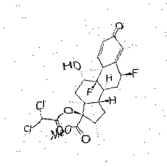 COC(=O)[C@@]1(OC(=O)C(Cl)Cl)[C@@H](C)C[C@H]2[C@@H]3C[C@H](F)C4=CC(=O)C=C[C@]4(C)[C@@]3(F)[C@@H](O)C[C@@]21C